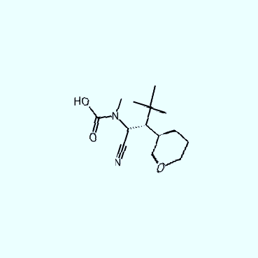 CN(C(=O)O)C(C#N)[C@@H]([C@H]1CCCOC1)C(C)(C)C